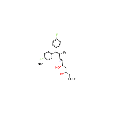 CC(C)C(/C=C/C(O)CC(O)CC(=O)[O-])=C(c1ccc(F)cc1)c1ccc(F)cc1.[Na+]